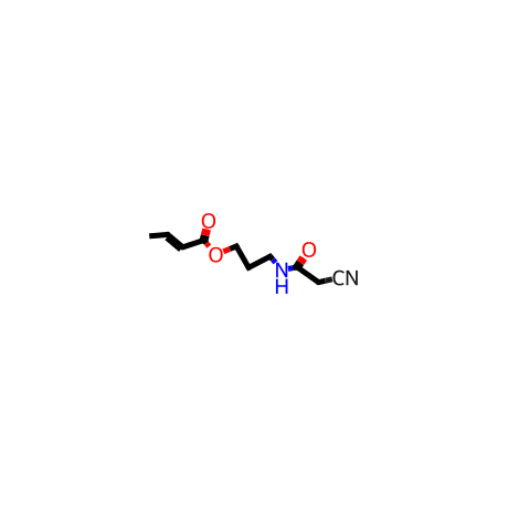 CC=CC(=O)OCCCNC(=O)CC#N